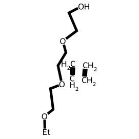 C=C.C=C.CCOCCOCCOCCO